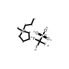 CCC[N+]1(C)CCCC1.O=S(=O)([O-])C(F)(F)F